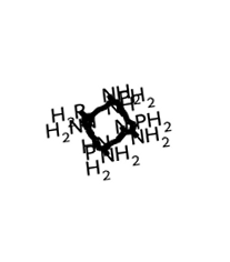 NC1=C(P)C2=NC/1=C\c1[nH]c(c(P)c1N)/C=C1\N=C(CC3N/C(=C\2)C(P)=C3N)C(P)=C1N